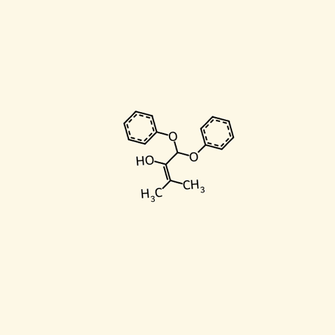 CC(C)=C(O)C(Oc1ccccc1)Oc1ccccc1